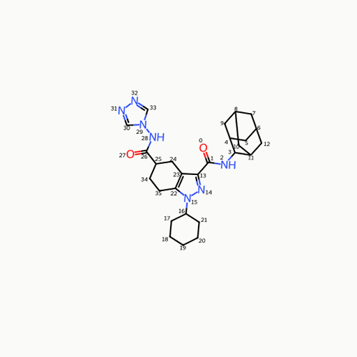 O=C(NC1C2CC3CC(C2)CC1C3)c1nn(C2CCCCC2)c2c1CC(C(=O)Nn1cnnc1)CC2